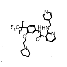 O=C(Nc1ccc(C(F)(F)C(F)(F)F)c(OCCN2CCCCC2)c1)c1cccnc1NCc1ccncc1